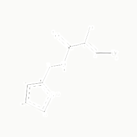 CC(=CBr)C(=O)OCc1cccs1